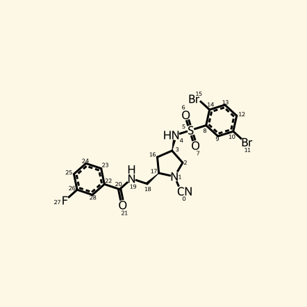 N#CN1C[C@H](NS(=O)(=O)c2cc(Br)ccc2Br)C[C@@H]1CNC(=O)c1cccc(F)c1